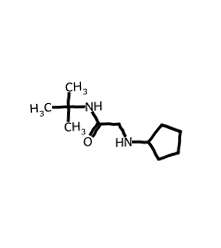 CC(C)(C)NC(=O)CNC1CCCC1